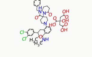 CCC(Cc1c(C(=O)NC)cccc1N1CCC(C(=O)NCc2ccccc2)(N2CCCCC2=O)CC1)c1ccc(Cl)c(Cl)c1.O=C(O)CC(O)(CC(=O)O)C(=O)O